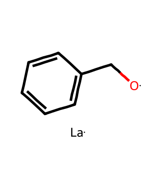 [La].[O]Cc1ccccc1